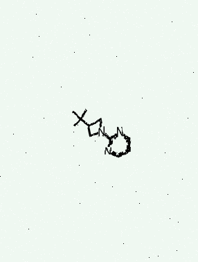 CC(C)(C)C1CN(c2ncccn2)C1